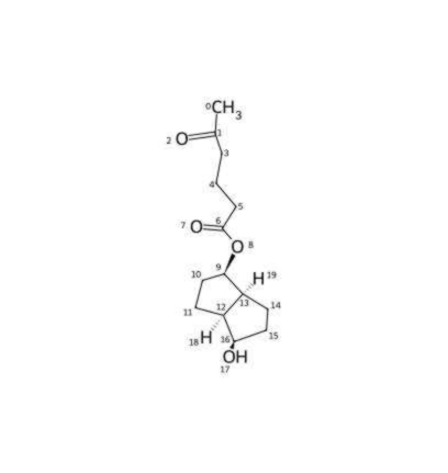 CC(=O)CCCC(=O)O[C@@H]1CC[C@H]2[C@@H]1CC[C@H]2O